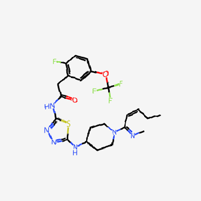 CC/C=C\C(=N/C)N1CCC(Nc2nnc(NC(=O)Cc3cc(OC(F)(F)F)ccc3F)s2)CC1